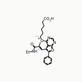 CCNC(=O)/C(C)=C/c1c(-c2ccccc2)oc2ncnc(O[C@H](C)CCCCC(=O)O)c12